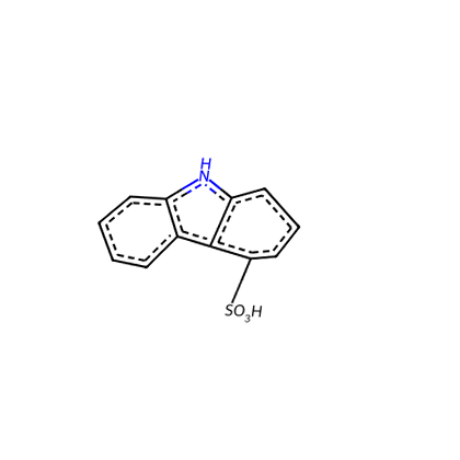 O=S(=O)(O)c1cccc2[nH]c3ccccc3c12